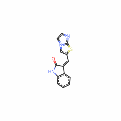 O=C1Nc2ccccc2C1=Cc1cn2ccnc2s1